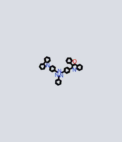 c1ccc(-c2nc(-c3ccc(-c4nc5ccccc5c5oc6ccccc6c45)cc3)nc(-c3ccc(-n4c5ccccc5c5ccccc54)cc3)n2)cc1